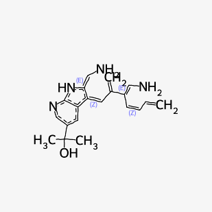 C=C/C=C\C(=C/N)C(=C)/C=c1\c(=C/N)[nH]c2ncc(C(C)(C)O)cc12